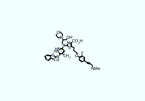 CNCC#Cc1ccc(OCCCc2sc(N(CC(CO)N3CCOCC3)C(=N)/C=C(/C)C(=N)Nc3nc4ccccc4s3)nc2C(=O)O)c(F)c1